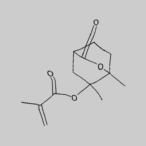 C=C(C)C(=O)OC1(C)CC2CCC1(C)OC2=O